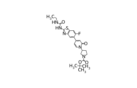 CCNC(=O)Nc1nc2cc(-c3ccn(C4CCN(C(=O)OC(C)(C)C)C4)c(=O)c3)c(F)cc2s1